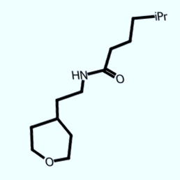 CC(C)CCCC(=O)NCCC1CCOCC1